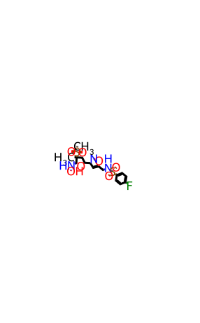 CC(CCc1cc(CNS(=O)(=O)c2ccc(F)cc2)on1)(C(=O)NO)S(C)(=O)=O